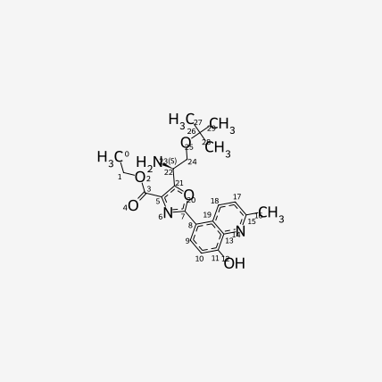 CCOC(=O)c1nc(-c2ccc(O)c3nc(C)ccc23)oc1[C@@H](N)COC(C)(C)C